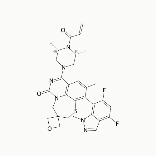 C=CC(=O)N1[C@H](C)CN(c2nc(=O)n3c4c(c(-c5c(F)cc(F)c6cnn(C)c56)c(C)cc24)SCC2(COC2)C3)C[C@@H]1C